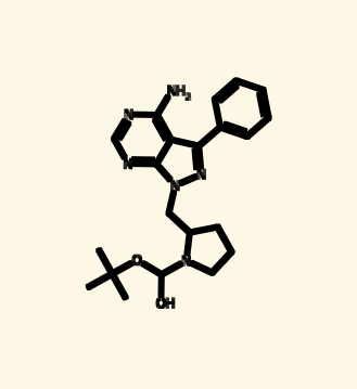 CC(C)(C)OC(O)N1CCCC1Cn1nc(-c2ccccc2)c2c(N)ncnc21